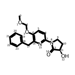 COCOc1ccc(N2CC[C@@H](O)C2=O)nc1Cc1ccccc1